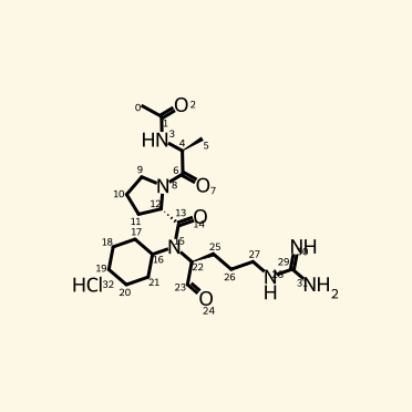 CC(=O)N[C@@H](C)C(=O)N1CCC[C@H]1C(=O)N(C1CCCCC1)[C@H](C=O)CCCNC(=N)N.Cl